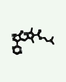 Cc1[nH]c(C=C2C(=O)NN=C2c2cnccn2)c(C)c1C(=O)OCCN(C)C